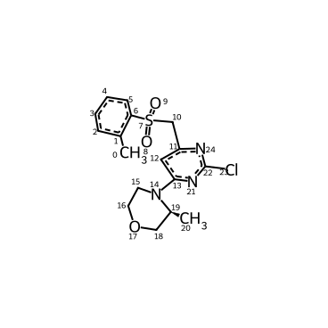 Cc1ccccc1S(=O)(=O)Cc1cc(N2CCOC[C@@H]2C)nc(Cl)n1